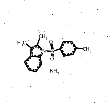 Cc1ccc(S(=O)(=O)n2c(C)c(C)c3ccccc32)cc1.N